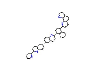 c1ccc(-c2ccc3cc(-c4ccc5nc(-c6ccc(-c7ccc8ccc9cccnc9c8n7)c7ccccc67)ccc5c4)ccc3n2)nc1